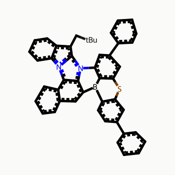 CC(C)(C)Cc1c2ccccc2n2c3c4ccccc4cc4c3n(c12)-c1cc(-c2ccccc2)cc2c1B4c1ccc(-c3ccccc3)cc1S2